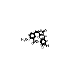 COc1ccc(/C=C2/SC(=O)N(Cc3ccc(Cl)c(Cl)c3)C2=O)cc1[N+](=O)[O-]